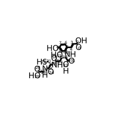 O=C(O)/C=C/c1ccc(O)c(O)c1N[C@@H](CCC(=O)N[C@@H](CS)C(=O)NCC(=O)O)C(=O)O